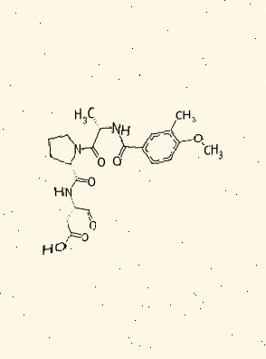 COc1ccc(C(=O)N[C@@H](C)C(=O)N2CCC[C@H]2C(=O)N[C@H](C=O)CC(=O)O)cc1C